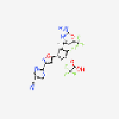 C[C@@]1(c2cc(-c3cc(-c4ncc(C#N)cn4)no3)ccc2F)C[C@@H](C(F)(F)F)OC(N)=N1.O=C(O)C(F)(F)F